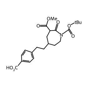 COC(=O)C1CC(CCc2ccc(C(=O)O)cc2)CCN(C(=O)OC(C)(C)C)C1=O